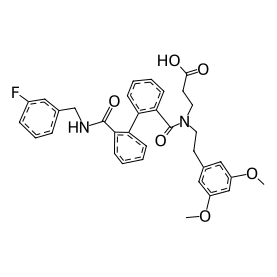 COc1cc(CCN(CCC(=O)O)C(=O)c2ccccc2-c2ccccc2C(=O)NCc2cccc(F)c2)cc(OC)c1